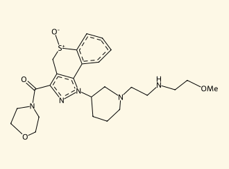 COCCNCCN1CCCC(n2nc(C(=O)N3CCOCC3)c3c2-c2ccccc2[S+]([O-])C3)C1